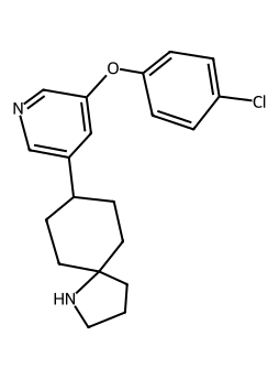 Clc1ccc(Oc2cncc(C3CCC4(CCCN4)CC3)c2)cc1